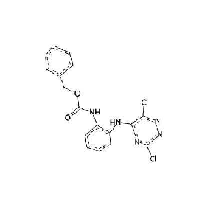 O=C(Nc1ccccc1Nc1nc(Cl)nnc1Cl)OCc1ccccc1